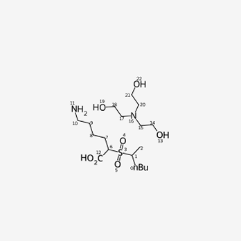 CCCCC(C)S(=O)(=O)C(CCCCN)C(=O)O.OCCN(CCO)CCO